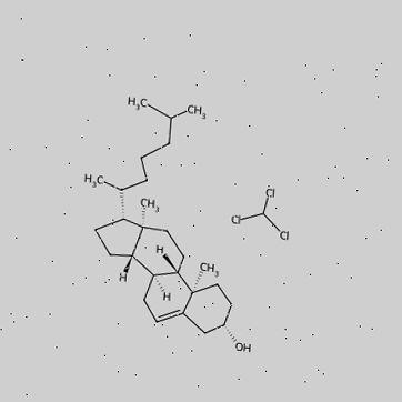 CC(C)CCCC(C)[C@H]1CC[C@H]2[C@@H]3CC=C4C[C@@H](O)CC[C@]4(C)[C@H]3CC[C@]12C.ClC(Cl)Cl